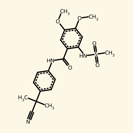 COc1cc(NS(C)(=O)=O)c(C(=O)Nc2ccc(C(C)(C)C#N)cc2)cc1OC